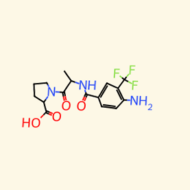 CC(NC(=O)c1ccc(N)c(C(F)(F)F)c1)C(=O)N1CCCC1C(=O)O